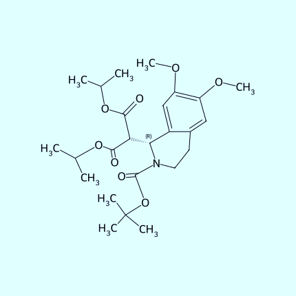 COc1cc2c(cc1OC)[C@@H](C(C(=O)OC(C)C)C(=O)OC(C)C)N(C(=O)OC(C)(C)C)CC2